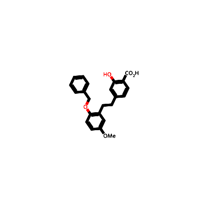 COc1ccc(OCc2ccccc2)c(CCc2ccc(C(=O)O)c(O)c2)c1